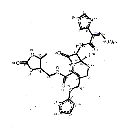 CO/N=C(\C(=O)NC1C(=O)N2C(C(=O)OCC3OC(=O)OC3C)=C(CSc3ncns3)CS[C@@H]12)c1cscn1